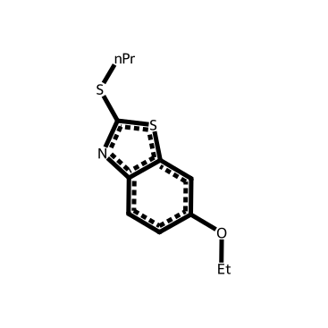 CCCSc1nc2ccc(OCC)cc2s1